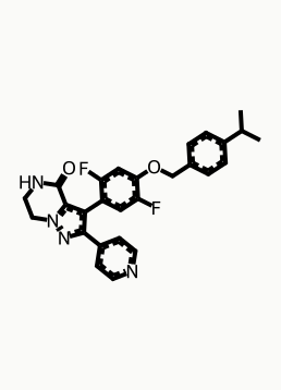 CC(C)c1ccc(COc2cc(F)c(-c3c(-c4ccncc4)nn4c3C(=O)NCC4)cc2F)cc1